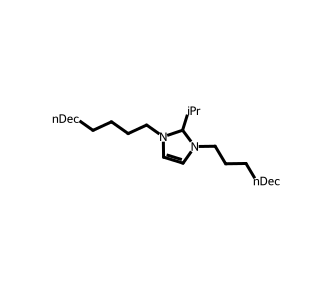 CCCCCCCCCCCCCCN1C=CN(CCCCCCCCCCCCC)C1C(C)C